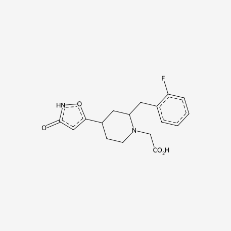 O=C(O)CN1CCC(c2cc(=O)[nH]o2)CC1Cc1ccccc1F